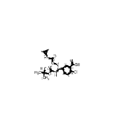 CC(C)(C)OC(=O)N[C@H](COC(=O)NC1CC1)c1ccc(Cl)c(C(=O)O)c1